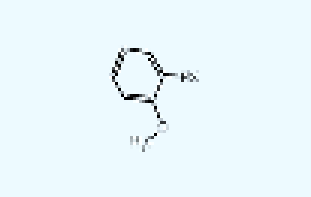 COc1cccc[c]1[Pb]